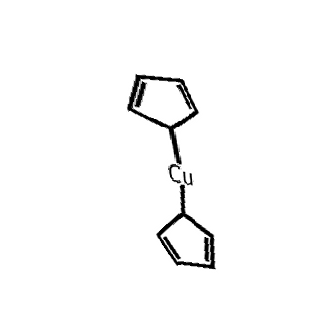 C1=C[CH]([Cu][CH]2C=CC=C2)C=C1